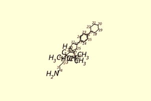 CC(CCCN)C(C)(C)C1C2CC(c3ccc(C4CCCCC4)cc3)C(C2)C1C(C)(C)C